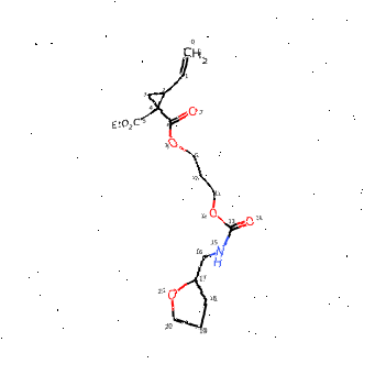 C=CC1CC1(C(=O)OCC)C(=O)OCCCOC(=O)NCC1CCCO1